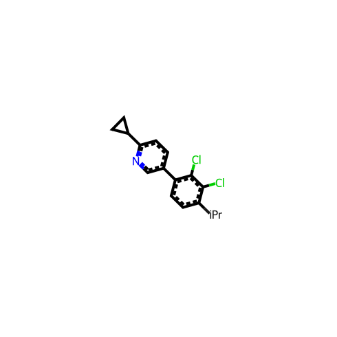 CC(C)c1ccc(-c2ccc(C3CC3)nc2)c(Cl)c1Cl